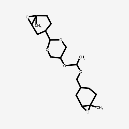 CC(OCC1CCC2(C)OC2C1)OC1COC(C2CCC3(C)OC3C2)OC1